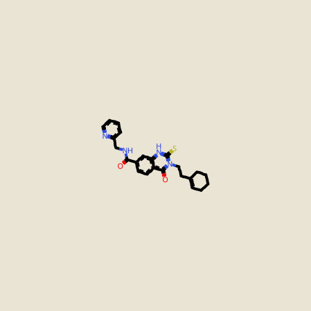 O=C(NCc1ccccn1)c1ccc2c(=O)n(CCC3=CCCCC3)c(=S)[nH]c2c1